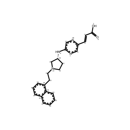 O=C(O)/C=C/c1cnc(N[C@@H]2CCN(CCc3cccc4ccccc34)C2)cn1